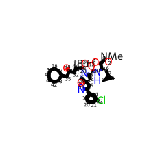 CNC(=O)C(=O)[C@H](CC1CC1)NC(=O)[C@@H]1C[C@]2(CC(c3cccc(Cl)c3)=NO2)CN1C(=O)[C@@H](CC(=O)CC1CCCCCCC1)C(C)(C)C